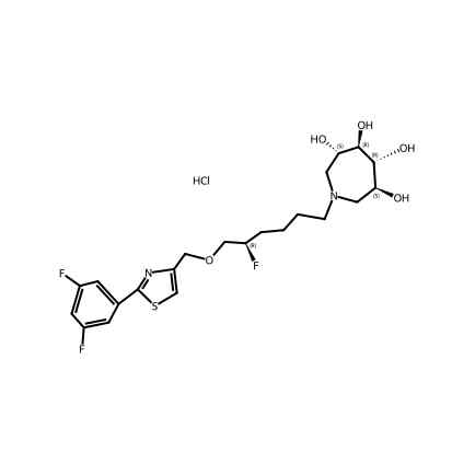 Cl.O[C@H]1[C@H](O)[C@@H](O)CN(CCCC[C@@H](F)COCc2csc(-c3cc(F)cc(F)c3)n2)C[C@@H]1O